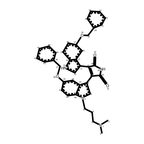 CN(C)CCCn1cc(C2=C(c3c[nH]c4ccc(OCc5ccccc5)cc34)C(=O)NC2=O)c2cc(OCc3ccccc3)ccc21